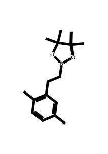 Cc1ccc(C)c(CCB2OC(C)(C)C(C)(C)O2)c1